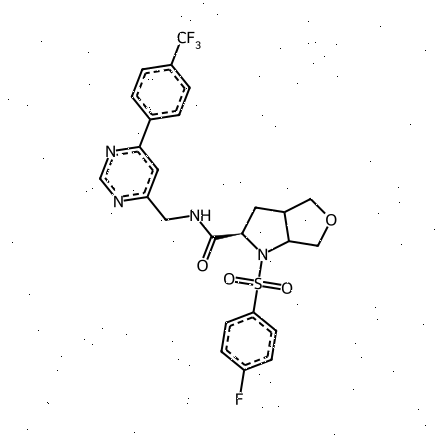 O=C(NCc1cc(-c2ccc(C(F)(F)F)cc2)ncn1)[C@H]1CC2COCC2N1S(=O)(=O)c1ccc(F)cc1